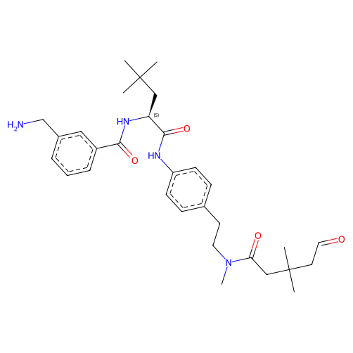 CN(CCc1ccc(NC(=O)[C@H](CC(C)(C)C)NC(=O)c2cccc(CN)c2)cc1)C(=O)CC(C)(C)CC=O